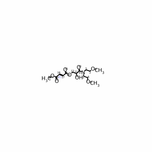 COCCN(CCOC)C(=O)C(O)COC(=O)/C=C/C(=O)OC